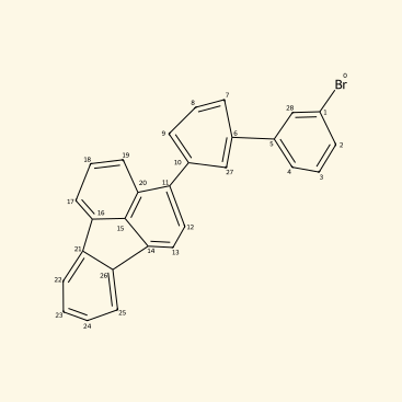 Brc1cccc(-c2cccc(-c3ccc4c5c(cccc35)-c3ccccc3-4)c2)c1